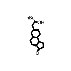 CCCC[C@H](O)CC1=CCC2C(CC[C@]3(C)C(=O)CCC23)C1